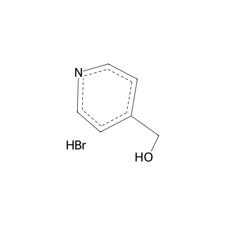 Br.OCc1ccncc1